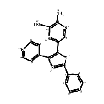 Nc1ncc(-c2sc(-c3ccccc3)nc2-c2ccncc2)nc1O